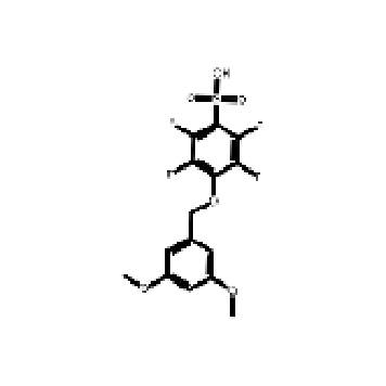 COc1cc(COc2c(F)c(F)c(S(=O)(=O)O)c(F)c2F)cc(OC)c1